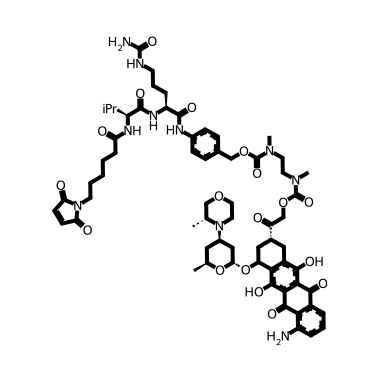 CC(C)[C@H](NC(=O)CCCCCN1C(=O)C=CC1=O)C(=O)N[C@@H](CCCNC(N)=O)C(=O)Nc1ccc(COC(=O)N(C)CCN(C)C(=O)OCC(=O)[C@@H]2Cc3c(O)c4c(c(O)c3C(O[C@H]3C[C@H](N5CCOC[C@H]5C)C[C@H](C)O3)C2)C(=O)c2c(N)cccc2C4=O)cc1